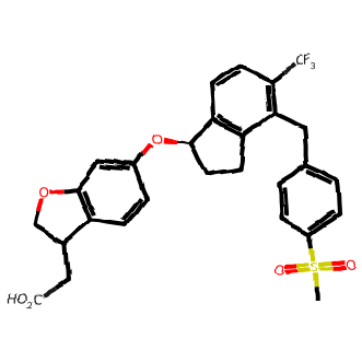 CS(=O)(=O)c1ccc(Cc2c(C(F)(F)F)ccc3c2CC[C@H]3Oc2ccc3c(c2)OCC3CC(=O)O)cc1